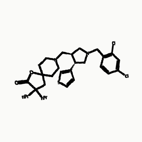 CCCC1(CCC)CC2(CCN(C[C@H]3CN(Cc4ccc(Cl)cc4Cl)C[C@@H]3c3ccsc3)CC2)OC1=O